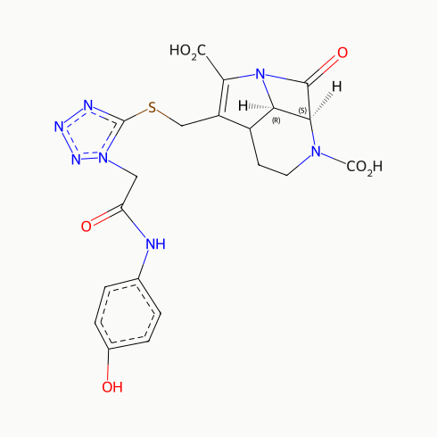 O=C(Cn1nnnc1SCC1=C(C(=O)O)N2C(=O)[C@@H]3[C@H]2C1CCN3C(=O)O)Nc1ccc(O)cc1